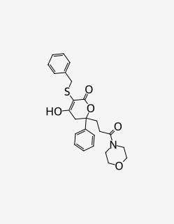 O=C1OC(CCC(=O)N2CCOCC2)(c2ccccc2)CC(O)=C1SCc1ccccc1